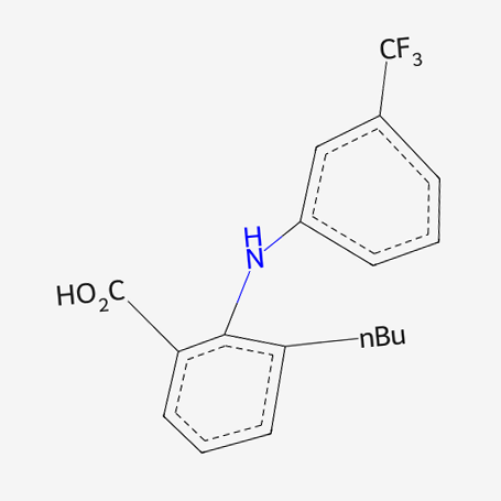 CCCCc1cccc(C(=O)O)c1Nc1cccc(C(F)(F)F)c1